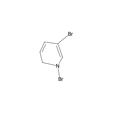 BrC1=CN(Br)CC=C1